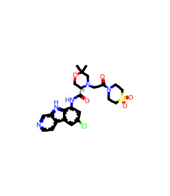 CC1(C)CN(CC(=O)N2CCS(=O)(=O)CC2)[C@H](C(=O)Nc2cc(Cl)cc3c2[nH]c2cnccc23)CO1